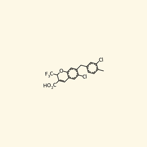 Cc1ccc(Cc2cc3c(cc2Cl)C=C(C(=O)O)C(C(F)(F)F)O3)cc1Cl